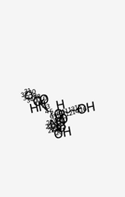 O=C(NCCCC[C@H](O[PH](=O)CCCCCO)C(=O)N1CCC[C@H]1C(=O)O)OCc1ccccc1